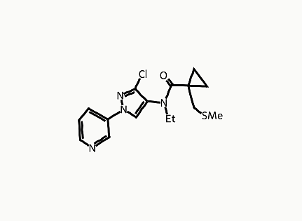 CCN(C(=O)C1(CSC)CC1)c1cn(-c2cccnc2)nc1Cl